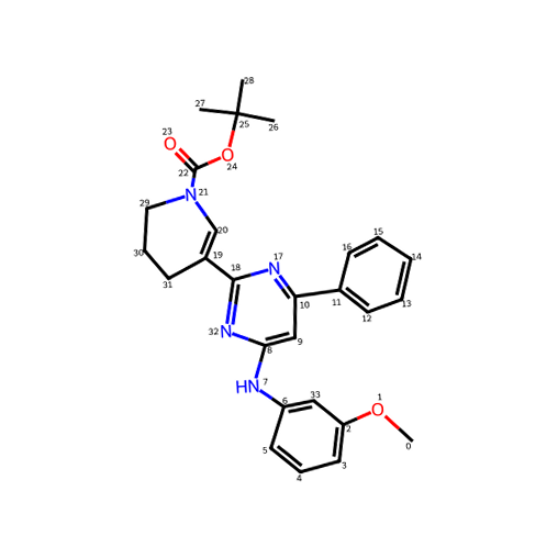 COc1cccc(Nc2cc(-c3ccccc3)nc(C3=CN(C(=O)OC(C)(C)C)CCC3)n2)c1